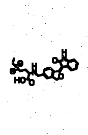 CCS(=O)(=O)CCC(NCc1ccc2c(c1)COC2=C1C(=O)Nc2ccccc21)C(=O)O